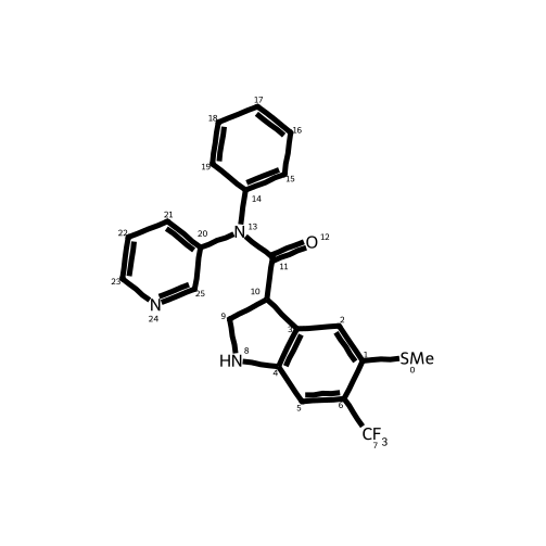 CSc1cc2c(cc1C(F)(F)F)NCC2C(=O)N(c1ccccc1)c1cccnc1